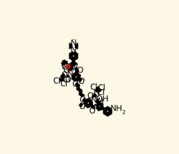 COc1cc2c(cc1OCCCCCOc1cc3c(cc1OC)C(=O)N1C=C(c4ccc(N5CCN(C)CC5)cc4)C[C@H]1[C@H](O[Si](C)(C)C(C)(C)C)N3C(=O)OCC(Cl)(Cl)Cl)N(C(=O)OCC(Cl)(Cl)Cl)[C@@H](O)[C@@H]1CC(c3cccc(N)c3)=CN1C2=O